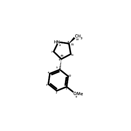 COc1cccc([C@@H]2CN[C@@H](C)C2)c1